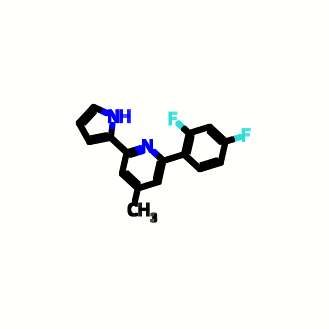 Cc1cc(-c2ccc[nH]2)nc(-c2ccc(F)cc2F)c1